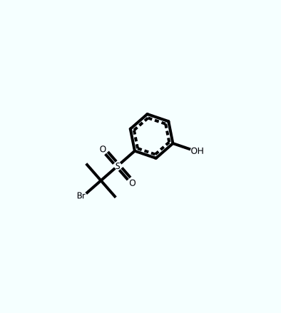 CC(C)(Br)S(=O)(=O)c1cccc(O)c1